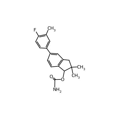 Cc1cc(-c2ccc3c(c2)CC(C)(C)C3OC(N)=O)ccc1F